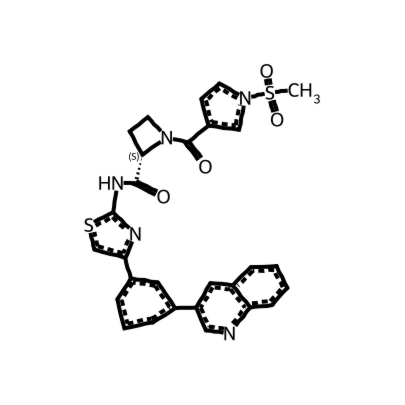 CS(=O)(=O)n1ccc(C(=O)N2CC[C@H]2C(=O)Nc2nc(-c3cccc(-c4cnc5ccccc5c4)c3)cs2)c1